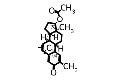 CC(=O)O[C@H]1CC[C@H]2[C@@H]3CCC4=CC(=O)C(C)=C[C@]4(C)[C@H]3CC[C@]12C